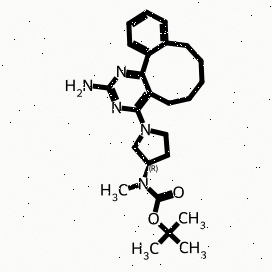 CN(C(=O)OC(C)(C)C)[C@@H]1CCN(c2nc(N)nc3c2CCCCCc2ccccc2-3)C1